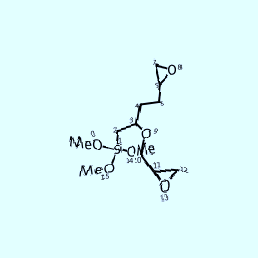 CO[Si](CC(CCC1CO1)OCC1CO1)(OC)OC